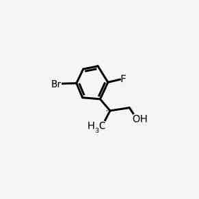 C[C](CO)c1cc(Br)ccc1F